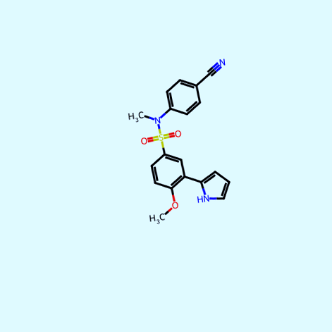 COc1ccc(S(=O)(=O)N(C)c2ccc(C#N)cc2)cc1-c1ccc[nH]1